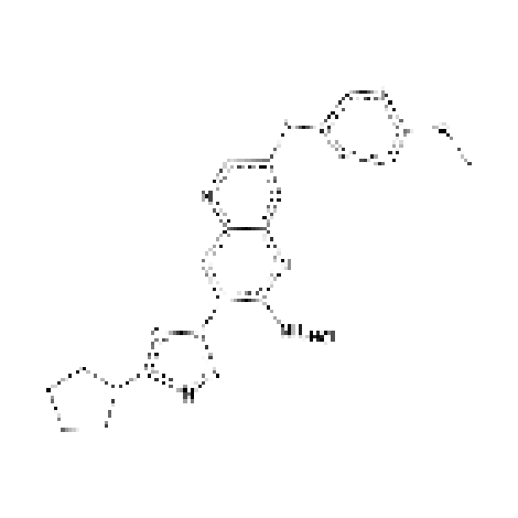 COc1ccc(Nc2cnc3cc(-c4nnc(C5CCCC5)s4)c(N)nc3c2)cn1.Cl